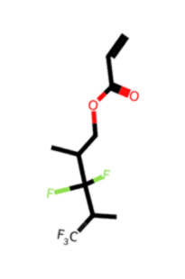 C=CC(=O)OCC(C)C(F)(F)C(C)C(F)(F)F